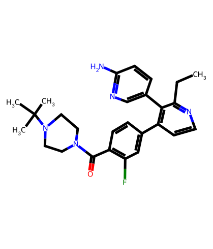 CCc1nccc(-c2ccc(C(=O)N3CCN(C(C)(C)C)CC3)c(F)c2)c1-c1ccc(N)nc1